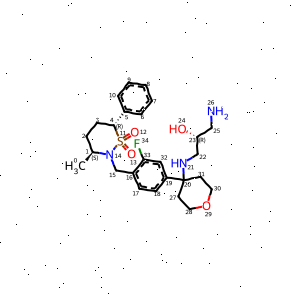 C[C@H]1CC[C@H](c2ccccc2)S(=O)(=O)N1Cc1ccc(C2(NC[C@H](O)CN)CCOCC2)cc1F